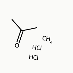 C.CC(C)=O.Cl.Cl